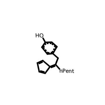 CCCCCC(Cc1ccc(O)cc1)=C1C=CC=C1